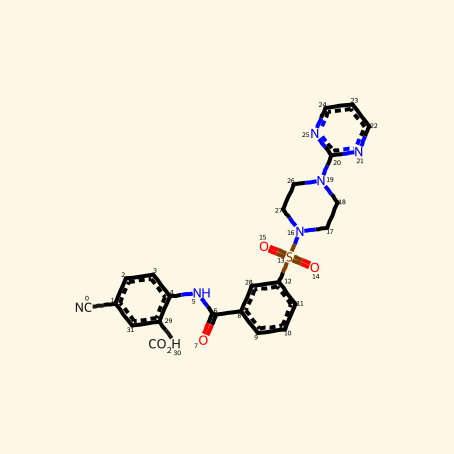 N#Cc1ccc(NC(=O)c2cccc(S(=O)(=O)N3CCN(c4ncccn4)CC3)c2)c(C(=O)O)c1